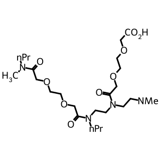 CCCN(C)C(=O)COCCOCC(=O)N(CCC)CCN(CCNC)C(=O)COCCOCC(=O)O